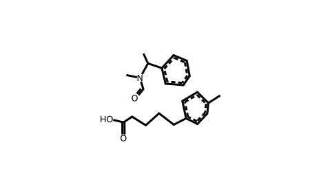 CC(c1ccccc1)N(C)C=O.Cc1ccc(CCCCC(=O)O)cc1